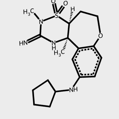 CN1C(=N)N[C@]2(C)c3cc(NC4CCCC4)ccc3OCC[C@@H]2S1(=O)=O